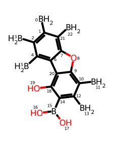 Bc1c(B)c(B)c2c(oc3c(B)c(B)c(B(O)O)c(O)c32)c1B